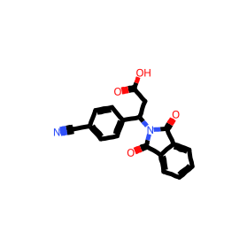 N#Cc1ccc(C(CC(=O)O)N2C(=O)c3ccccc3C2=O)cc1